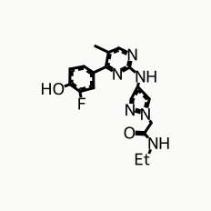 CCNC(=O)Cn1cc(Nc2ncc(C)c(-c3ccc(O)c(F)c3)n2)cn1